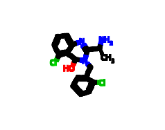 C[C@H](N)C1=Nc2cccc(Cl)c2C(O)N1Cc1ccccc1Cl